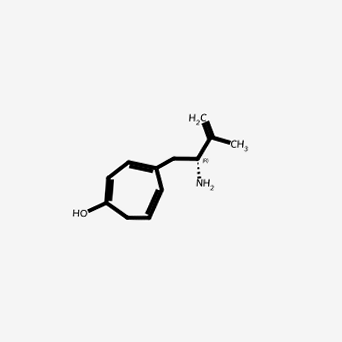 C=C(C)[C@H](N)CC1=CC=C(O)CC=C1